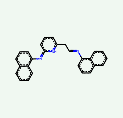 C(Cc1cccc(=Nc2cccc3ccccc23)[nH]1)=Nc1cccc2ccccc12